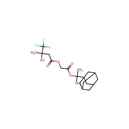 CC(O)(CC(=O)OCC(=O)OC(C)(C)C12CC3CC(CC(C3)C1)C2)C(F)(F)F